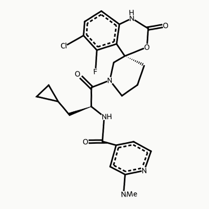 CNc1cc(C(=O)N[C@@H](CC2CC2)C(=O)N2CCC[C@@]3(C2)OC(=O)Nc2ccc(Cl)c(F)c23)ccn1